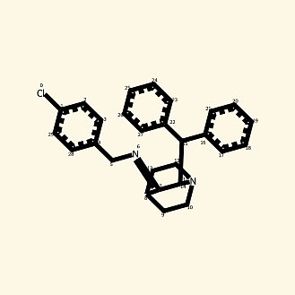 Clc1ccc(CN=C2C3CCN(CC3)C2C(c2ccccc2)c2ccccc2)cc1